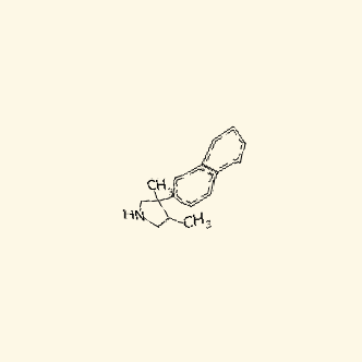 CC1CNCC1(C)c1ccc2ccccc2c1